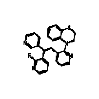 Fc1ncccc1C(Cc1cccnc1N1CCSc2ccccc21)c1cccnc1